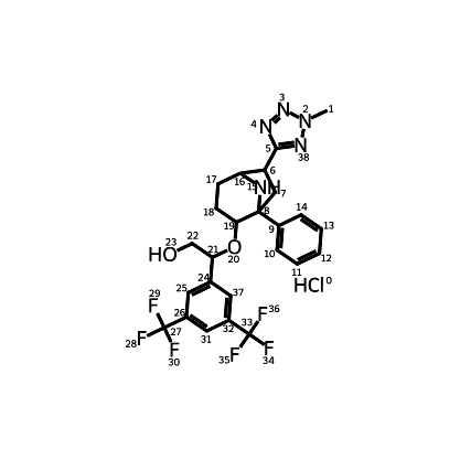 Cl.Cn1nnc(C2CC3(c4ccccc4)NC2CCC3OC(CO)c2cc(C(F)(F)F)cc(C(F)(F)F)c2)n1